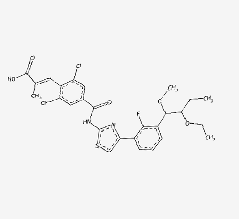 CCOC(CC)C(OC)c1cccc(-c2csc(NC(=O)c3cc(Cl)c(C=C(C)C(=O)O)c(Cl)c3)n2)c1F